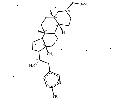 COC[C@H]1CC[C@@H]2C3CC[C@@]4(C)C(CCC4[C@@H](C)Cc4ccc(C(F)(F)F)nc4)[C@@H]3CC[C@@H]2C1